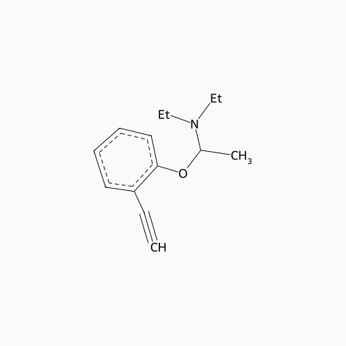 C#Cc1ccccc1OC(C)N(CC)CC